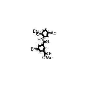 CCOc1ccc(C(C)=O)cc1NC(=O)c1cc(Br)cc(C(=O)OC)c1